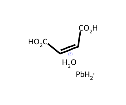 O.O=C(O)/C=C\C(=O)O.[PbH2]